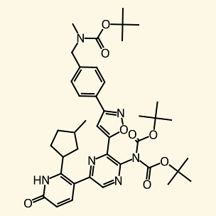 CC1CCC(c2[nH]c(=O)ccc2-c2cnc(N(C(=O)OC(C)(C)C)C(=O)OC(C)(C)C)c(-c3cc(-c4ccc(CN(C)C(=O)OC(C)(C)C)cc4)no3)n2)C1